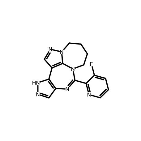 Fc1cccnc1C1=Nc2cn[nH]c2-c2cnn3c2N1CCCC3